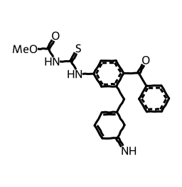 COC(=O)NC(=S)Nc1ccc(C(=O)c2ccccc2)c(CC2=CC=CC(=N)C2)c1